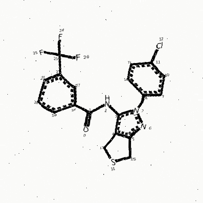 O=C(Nc1c2c(nn1-c1ccc(Cl)cc1)CSC2)c1cccc(C(F)(F)F)c1